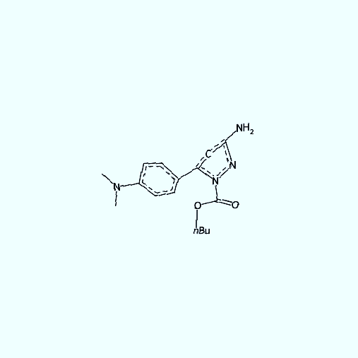 CCCCOC(=O)n1nc(N)cc1-c1ccc(N(C)C)cc1